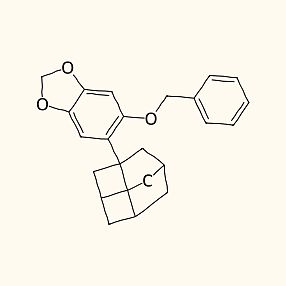 c1ccc(COc2cc3c(cc2C24CC5CC6CC(C2)C64C5)OCO3)cc1